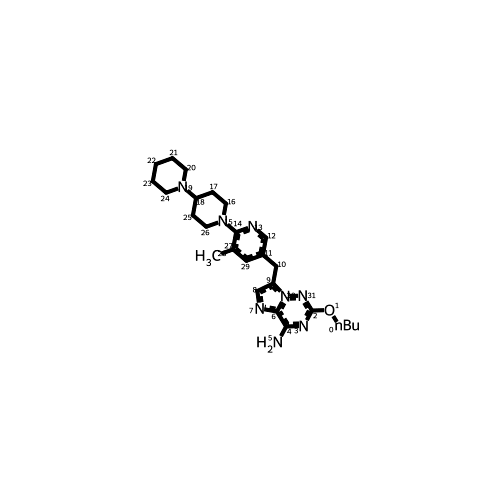 CCCCOc1nc(N)c2ncc(Cc3cnc(N4CCC(N5CCCCC5)CC4)c(C)c3)n2n1